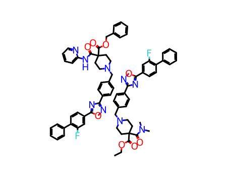 CCOC(=O)C1(C(=O)N(C)C)CCN(Cc2ccc(-c3noc(-c4ccc(-c5ccccc5)c(F)c4)n3)cc2)CC1.O=C(Nc1ccccn1)C1(C(=O)OCc2ccccc2)CCN(Cc2ccc(-c3noc(-c4ccc(-c5ccccc5)c(F)c4)n3)cc2)CC1